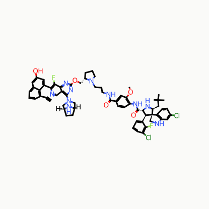 C#Cc1cccc2cc(O)cc(-c3ncc4c(N5C[C@H]6CC[C@@H](C5)N6)nc(OC[C@@H]5CCCN5CCCNC(=O)c5ccc(NC(=O)[C@@H]6N[C@@H](CC(C)(C)C)[C@@]7(CNc8cc(Cl)ccc87)[C@H]6c6cccc(Cl)c6F)c(OC)c5)nc4c3F)c12